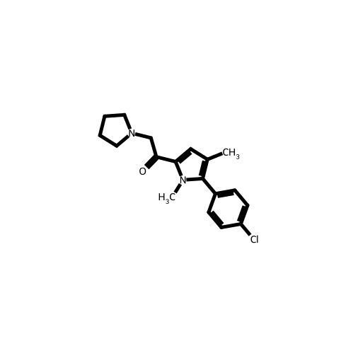 Cc1cc(C(=O)CN2CCCC2)n(C)c1-c1ccc(Cl)cc1